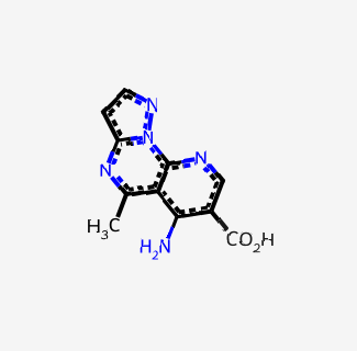 Cc1nc2ccnn2c2ncc(C(=O)O)c(N)c12